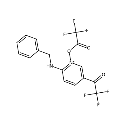 O=C(O[n+]1cc(C(=O)C(F)(F)F)ccc1NCc1ccccc1)C(F)(F)F